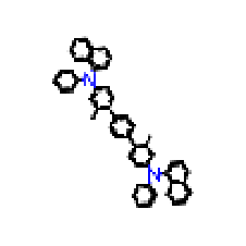 Cc1cc(N(c2ccccc2)c2cccc3ccccc23)ccc1-c1ccc(-c2ccc(N(c3ccccc3)c3cccc4ccccc34)cc2C)cc1